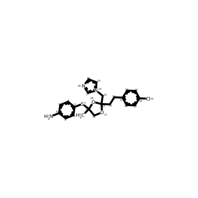 CC1(Sc2ccc(N)cc2)COC(CCc2ccc(Cl)cc2)(Cn2ccnc2)O1